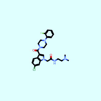 CN(C)CCNC(=O)Cn1cc(C(=O)N2CCN(c3ccccc3F)CC2)c2ccc(Cl)cc21